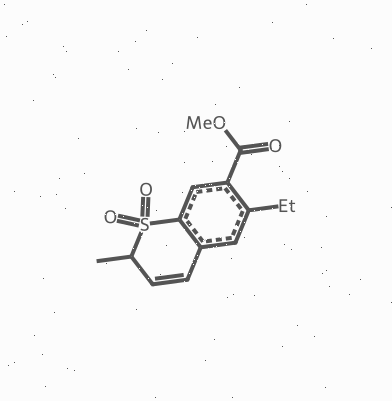 CCc1cc2c(cc1C(=O)OC)S(=O)(=O)C(C)C=C2